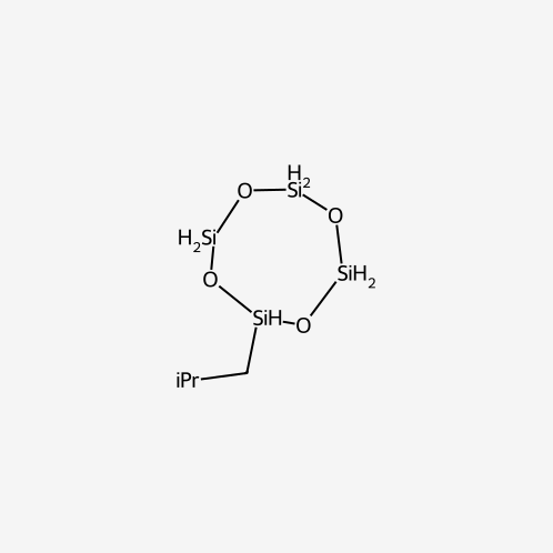 CC(C)C[SiH]1O[SiH2]O[SiH2]O[SiH2]O1